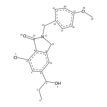 CCC(O)c1cc(Cl)c2c(c1)CN(Cc1ccc(OC)cc1)C2=O